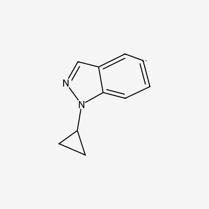 [c]1ccc2c(c1)cnn2C1CC1